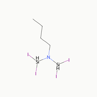 CCCCN([SiH](I)I)[SiH](I)I